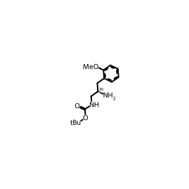 COc1ccccc1C[C@@H](N)CNC(=O)OC(C)(C)C